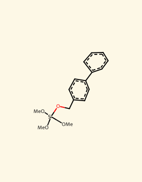 CO[Si](OC)(OC)OCc1ccc(-c2ccccc2)cc1